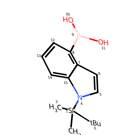 CC(C)(C)[Si](C)(C)n1ccc2c(B(O)O)cccc21